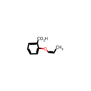 C/C=C\Oc1ccccc1C(=O)O